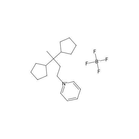 CC(CC[n+]1ccccc1)(C1CCCC1)C1CCCC1.F[B-](F)(F)F